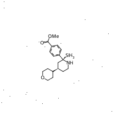 COC(=O)c1ccc([C@@]2([SiH3])C[C@H](C3CCOCC3)CCN2)cc1